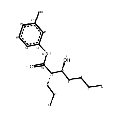 CCCC[C@H](O)[C@H](CCC)C(=O)Nc1c[c]cc(C)c1